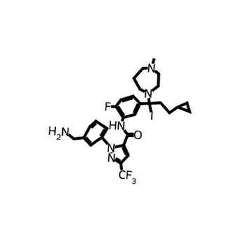 CN1CCCN(C(I)(CCC2CC2)c2ccc(F)c(NC(=O)c3cc(C(F)(F)F)nn3-c3cccc(CN)c3)c2)CC1